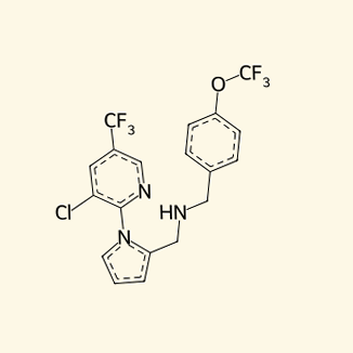 FC(F)(F)Oc1ccc(CNCc2cccn2-c2ncc(C(F)(F)F)cc2Cl)cc1